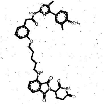 Cc1cc(-c2nc(NC(=O)Cc3cccc(OCCCCCNc4cccc5c4C(=O)N(C4CCC(=O)NC4=O)C5=O)c3)sc2C)ccc1N